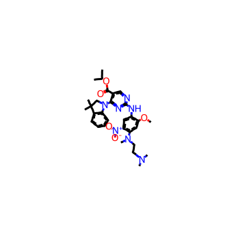 COc1cc(N(C)CCN(C)C)c([N+](=O)[O-])cc1Nc1ncc(C(=O)OC(C)C)c(N2CC(C)(C)c3ccccc32)n1